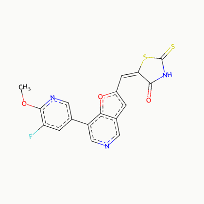 COc1ncc(-c2cncc3cc(C=C4SC(=S)NC4=O)oc23)cc1F